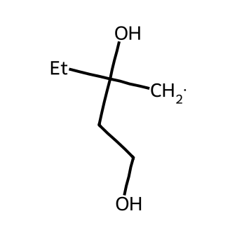 [CH2]C(O)(CC)CCO